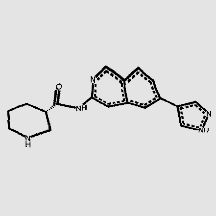 O=C(Nc1cc2cc(-c3cn[nH]c3)ccc2cn1)[C@H]1CCCNC1